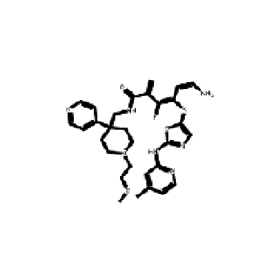 C=C(C(=O)NCC1(c2ccncc2)CCN(CCOC)CC1)/C(F)=C(\C=C/N)Sc1cnc(Nc2cc(C)ccn2)s1